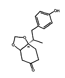 CC(Cc1ccc(O)cc1)[C@]12CCC(=O)CC1OCO2